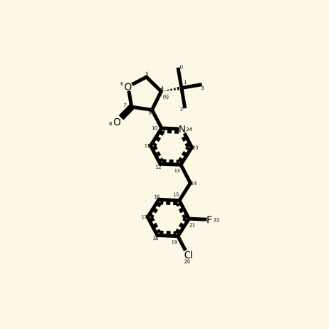 CC(C)(C)[C@H]1COC(=O)C1c1ccc(Cc2cccc(Cl)c2F)cn1